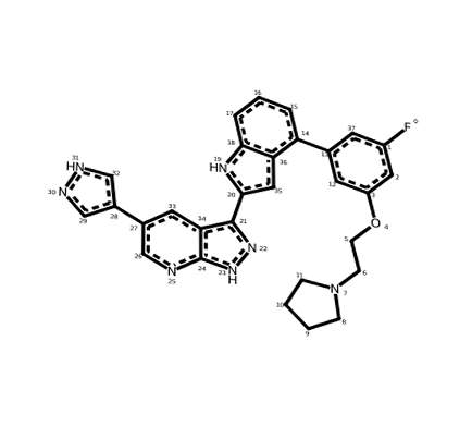 Fc1cc(OCCN2CCCC2)cc(-c2cccc3[nH]c(-c4n[nH]c5ncc(-c6cn[nH]c6)cc45)cc23)c1